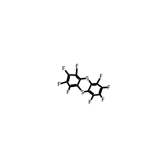 Fc1c(F)c(F)c2c(c1F)Sc1c(F)c(F)c(F)c(F)c1S2